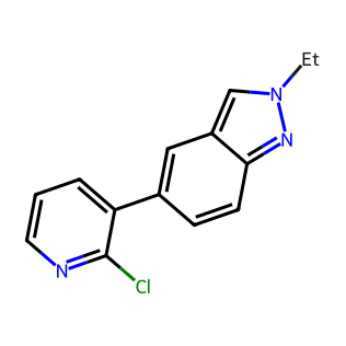 CCn1cc2cc(-c3cccnc3Cl)ccc2n1